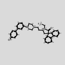 O=C(NCC(F)(F)F)C1(CCCCN2CCN(c3cccc(-c4ccc(Cl)cc4)c3)CC2)c2ccccc2-c2ccccc21